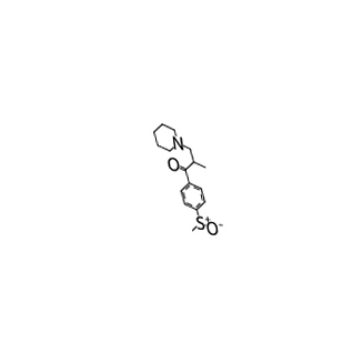 CC(CN1CCCCC1)C(=O)c1ccc([S+](C)[O-])cc1